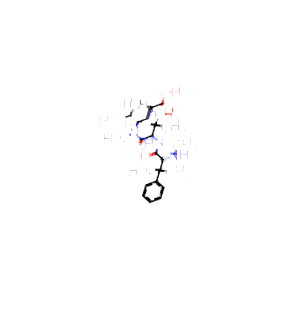 CN[C@H](C(=O)N[C@H](C(=O)N(C)[C@@H](/C=C(\C)C(=O)O)C(C)C)C(C)(C)C)C(C)(C)c1ccccc1